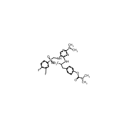 CN(C)C(=O)Oc1ccc(CC(Nc2nc(N(C)C)ncc2NCS(=O)(=O)c2ccc(F)c(F)c2)C(=O)O)cc1